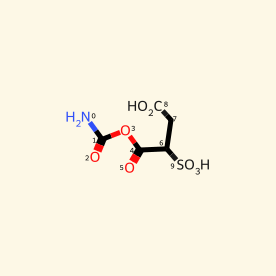 NC(=O)OC(=O)C(CC(=O)O)S(=O)(=O)O